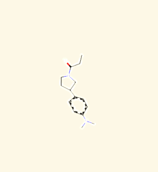 CCC(=O)N1CCC(c2ccc(N(C)C)cc2)C1